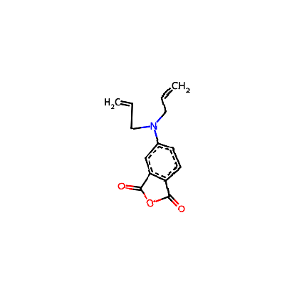 C=CCN(CC=C)c1ccc2c(c1)C(=O)OC2=O